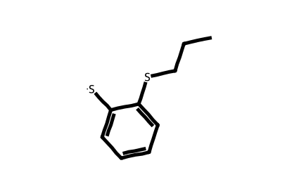 CCCSc1ccccc1[S]